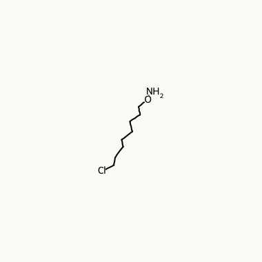 NOCCCCCCCCCl